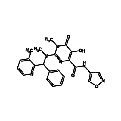 Cc1cccnc1C(c1ccccc1)N(C)c1nc(C(=O)Nc2cnoc2)c(O)c(=O)n1C